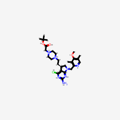 COc1c(C)cnc(CN2C[C@H](CCN3CCN(CC(=O)OC(C)(C)C)CC3)c3c(Cl)nc(N)nc32)c1C